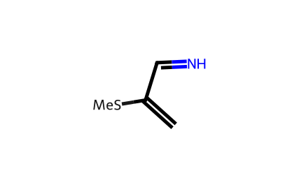 C=C(C=N)SC